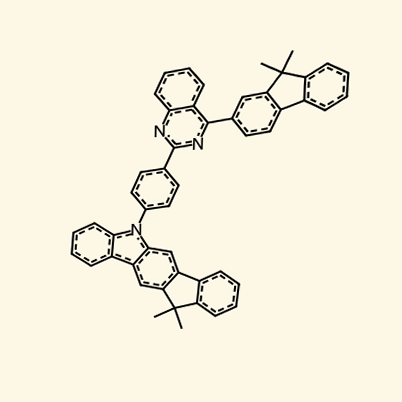 CC1(C)c2ccccc2-c2ccc(-c3nc(-c4ccc(-n5c6ccccc6c6cc7c(cc65)-c5ccccc5C7(C)C)cc4)nc4ccccc34)cc21